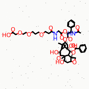 CC(=O)N[C@@H](c1ccccc1)[C@@H](OC(=O)CNC(=O)CCOCCCOCCOCC(=O)O)C(=O)O[C@H]1C[C@@]2(O)[C@@H](OC(=O)c3ccccc3)C3C(C)(C(=O)[C@H](O)C(=C1C)C2(C)C)[C@@H](O)CC1OC[C@]13C